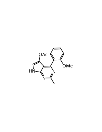 COc1ccccc1-c1nc(C)nc2[nH]cc(OC(C)=O)c12